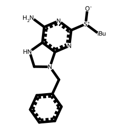 CCC(C)[S+]([O-])c1nc(N)c2c(n1)N(Cc1ccccc1)CN2